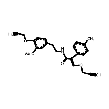 C#CCOC=C(C(=O)NCCc1ccc(OCC#C)c(OC)c1)c1ccc(C)cc1